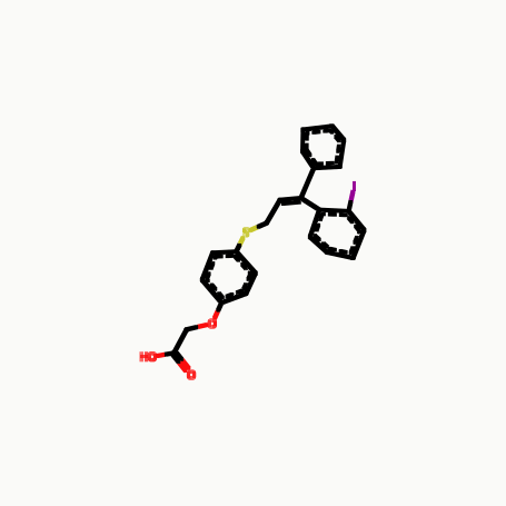 O=C(O)COc1ccc(SCC=C(c2ccccc2)c2ccccc2I)cc1